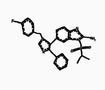 CC(C)S(=O)(=O)n1c(N)nc2ccc(-c3c(-c4ccccc4)ncn3Cc3ccc(F)cc3)cc21